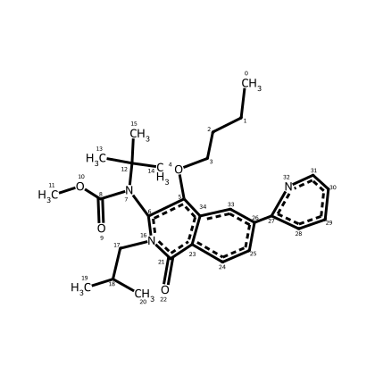 CCCCOc1c(N(C(=O)OC)C(C)(C)C)n(CC(C)C)c(=O)c2ccc(-c3ccccn3)cc12